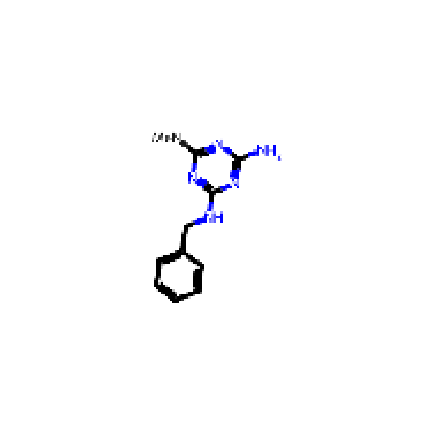 CNc1nc(N)nc(NCc2ccccc2)n1